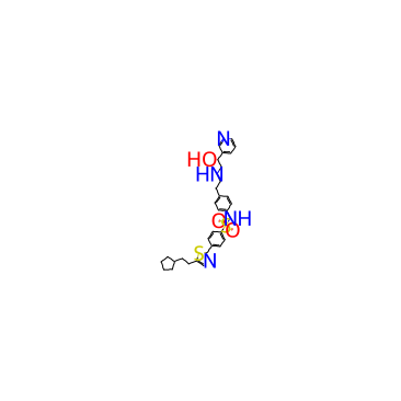 O=S(=O)(Nc1ccc(CCNCC(O)c2cccnc2)cc1)c1ccc(-c2ncc(CCC3CCCC3)s2)cc1